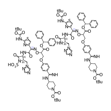 CC(C)(C)OC(=O)Nc1nc(/C(=N/OC(COc2ccc(C(=N)NC3CCN(C(=O)OC(C)(C)C)CC3)cc2)C(=O)OC(c2ccccc2)c2ccccc2)C(=O)N[C@@H]2C(=O)N(S(=O)(=O)O)[C@@H]2Cn2cncn2)cs1.CC(C)(C)OC(=O)Nc1nc(/C(=N/OC(COc2ccc(C(=N)NC3CCN(C(=O)OC(C)(C)C)CC3)cc2)C(=O)OC(c2ccccc2)c2ccccc2)C(=O)N[C@@H]2C(=O)N[C@@H]2Cn2cncn2)cs1